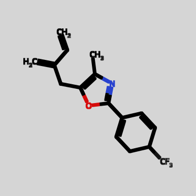 C=CC(=C)Cc1oc(C2=CCC(C(F)(F)F)C=C2)nc1C